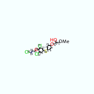 COC[C@@H](O)COc1ccc(Sc2cc(Cl)c(OC/C=C/Cl)c(Cl)c2)cc1